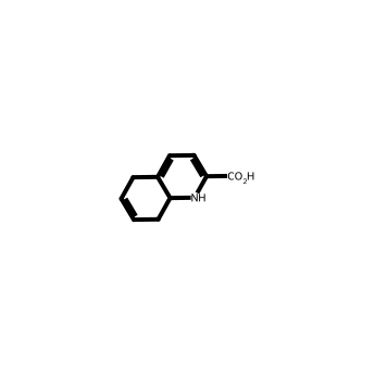 O=C(O)C1=CC=C2CC=CCC2N1